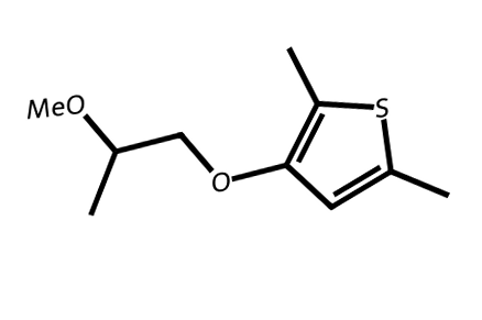 COC(C)COc1cc(C)sc1C